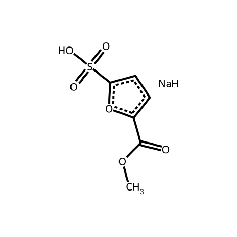 COC(=O)c1ccc(S(=O)(=O)O)o1.[NaH]